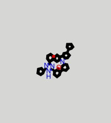 c1ccc(C2=NC(c3cccc4c3oc3c(-n5c6ccccc6c6cc(-c7ccccc7)ccc65)cccc34)NC(c3ccccc3)=N2)cc1